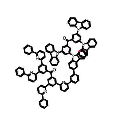 O=C(c1cc(-c2cccc(-c3ccccc3)n2)cc(-c2cccc(-c3ccccc3)n2)c1)c1cc(-c2cccc(-c3ccccc3)n2)cc(-c2cccc(-c3cccc(-c4ccc5c(c4)c4ccccc4n5-c4cc(C(=O)c5cc(-n6c7ccccc7c7ccccc76)cc(-n6c7ccccc7c7ccccc76)c5)cc(-n5c6ccccc6c6ccccc65)c4)c3)n2)c1